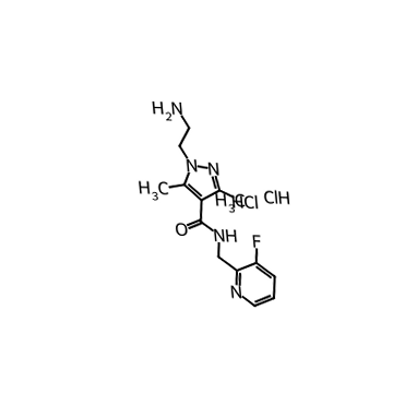 Cc1nn(CCN)c(C)c1C(=O)NCc1ncccc1F.Cl.Cl